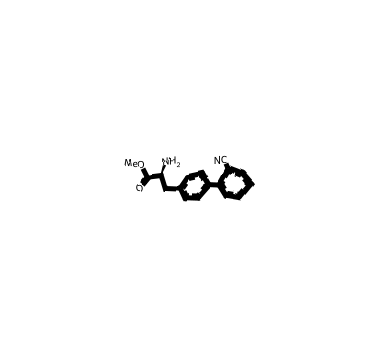 COC(=O)[C@@H](N)Cc1ccc(-c2ccccc2C#N)cc1